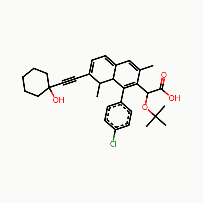 CC1=CC2=CC=C(C#CC3(O)CCCCC3)C(C)C2C(c2ccc(Cl)cc2)=C1C(OC(C)(C)C)C(=O)O